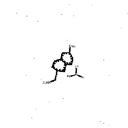 CCN(CC)CC.COc1ccc2cc(CNC(C)=O)ccc2c1